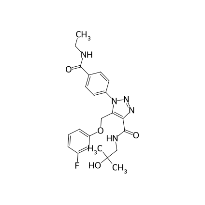 CCNC(=O)c1ccc(-n2nnc(C(=O)NCC(C)(C)O)c2COc2cccc(F)c2)cc1